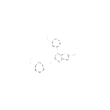 CCOC(=O)Cc1ccc(CN)cc1OCc1cc(-c2cccc(CN)c2)c2oc(CO)cc2c1